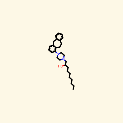 CCCCCCCCC(O)CN1CCN(c2cccc3c2CCc2ccccc2C3)CC1